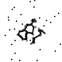 CC1=Nc2ccccc2CC1.CCC=O